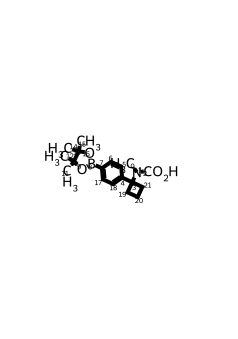 CN(C(=O)O)C1(c2ccc(B3OC(C)(C)C(C)(C)O3)cc2)CCC1